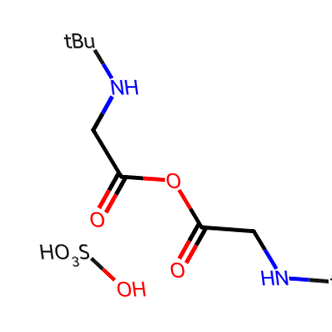 CC(C)(C)NCC(=O)OC(=O)CNC(C)(C)C.O=S(=O)(O)O